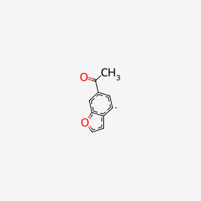 CC(=O)c1c[c]c2ccoc2c1